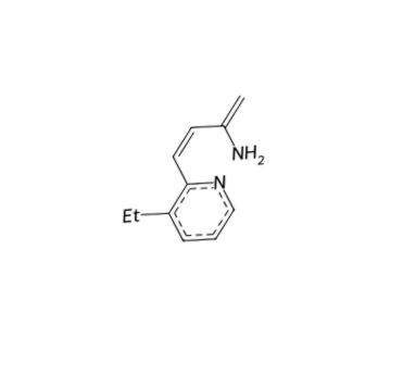 C=C(N)/C=C\c1ncccc1CC